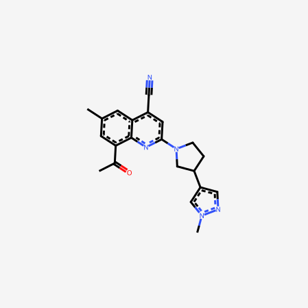 CC(=O)c1cc(C)cc2c(C#N)cc(N3CCC(c4cnn(C)c4)C3)nc12